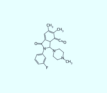 CC1=C(C)C(=C=O)C2C(=C1)C(=O)N(c1cccc(F)c1)C2N1CCN(C)CC1